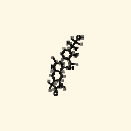 Cc1nc(NC(C)c2cccc(C(F)(F)C(C)(C)O)c2F)c2cc3c(cc2n1)C(C)(C)C(=O)N3C